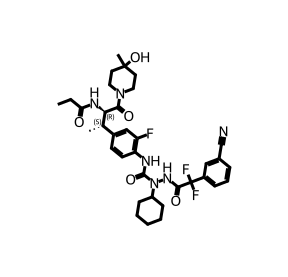 CCC(=O)N[C@@H](C(=O)N1CCC(C)(O)CC1)[C@@H](C)c1ccc(NC(=O)N(NC(=O)C(F)(F)c2cccc(C#N)c2)C2CCCCC2)c(F)c1